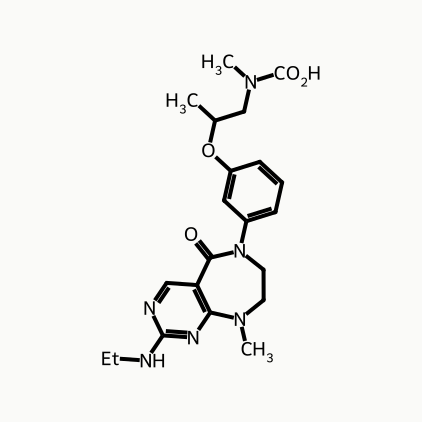 CCNc1ncc2c(n1)N(C)CCN(c1cccc(OC(C)CN(C)C(=O)O)c1)C2=O